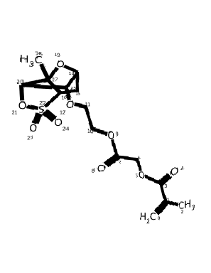 C=C(C)C(=O)OCC(=O)OCCOC1C2CC3C(C)(O2)C1OS3(=O)=O